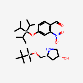 CC(C)(C)[Si](C)(C)OC[C@@H]1C[C@@H](O)CN1.CC(C)[Si](Oc1ccc(C=O)c([N+](=O)[O-])c1)(C(C)C)C(C)C